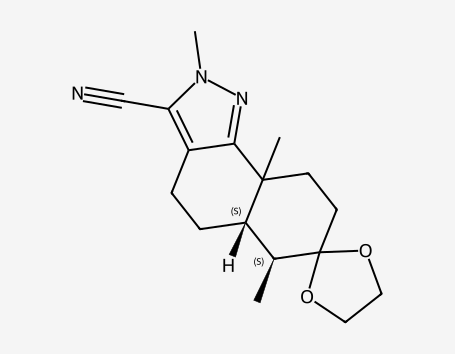 C[C@H]1[C@@H]2CCc3c(nn(C)c3C#N)C2(C)CCC12OCCO2